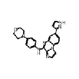 c1cn2c(n1)c(Nc1ccc(N3CCOCC3)cc1)nc1cc(-c3cc[nH]n3)ccc12